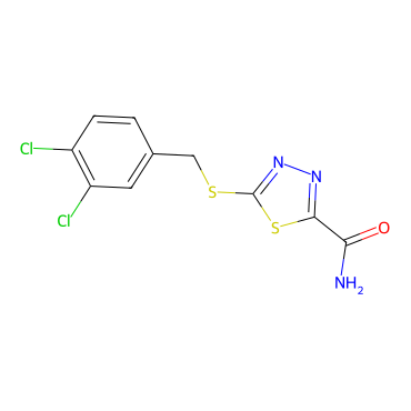 NC(=O)c1nnc(SCc2ccc(Cl)c(Cl)c2)s1